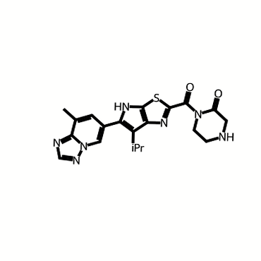 Cc1cc(-c2[nH]c3sc(C(=O)N4CCNCC4=O)nc3c2C(C)C)cn2ncnc12